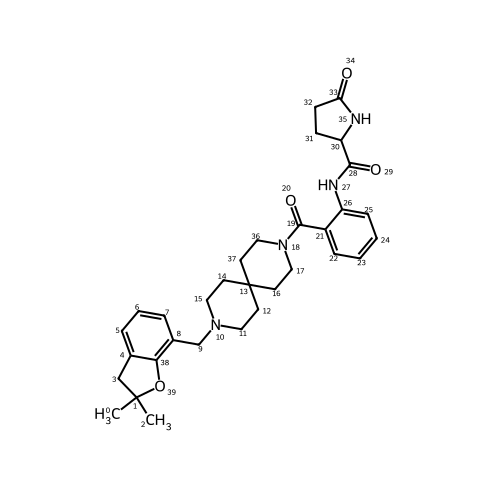 CC1(C)Cc2cccc(CN3CCC4(CC3)CCN(C(=O)c3ccccc3NC(=O)C3CCC(=O)N3)CC4)c2O1